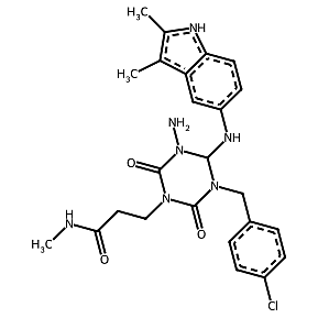 CNC(=O)CCN1C(=O)N(N)C(Nc2ccc3[nH]c(C)c(C)c3c2)N(Cc2ccc(Cl)cc2)C1=O